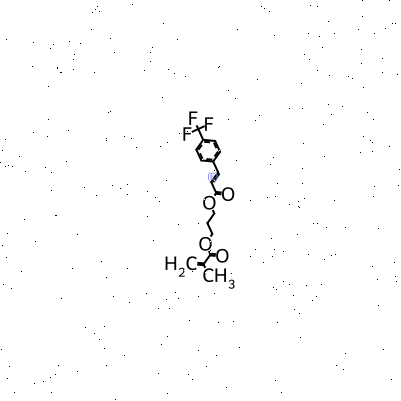 C=C(C)C(=O)OCCCOC(=O)/C=C/c1ccc(C(F)(F)F)cc1